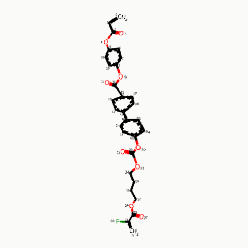 C=CC(=O)Oc1ccc(OC(=O)c2ccc(-c3ccc(OC(=O)OCCCCOC(=O)C(=C)F)cc3)cc2)cc1